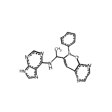 CC(Nc1ncnc2[nH]cnc12)C1=Cc2nccnc2ON1c1ccccc1